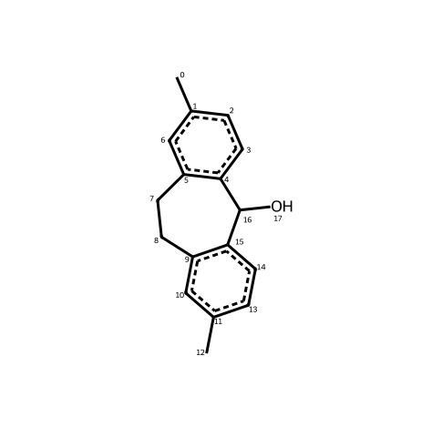 Cc1ccc2c(c1)CCc1cc(C)ccc1C2O